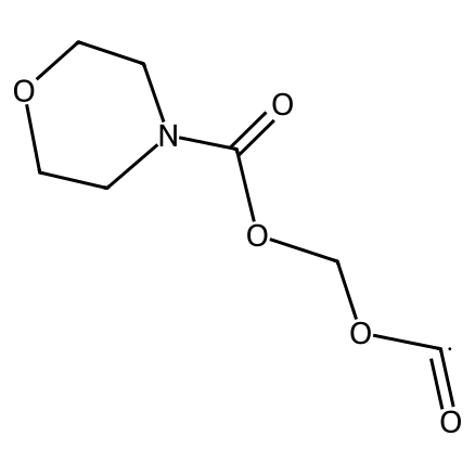 O=[C]OCOC(=O)N1CCOCC1